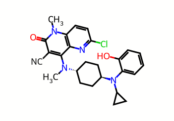 Cn1c(=O)c(C#N)c(N(C)[C@H]2CC[C@H](N(c3ccccc3O)C3CC3)CC2)c2nc(Cl)ccc21